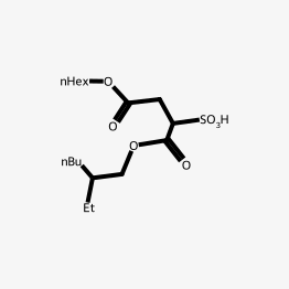 CCCCCCOC(=O)CC(C(=O)OCC(CC)CCCC)S(=O)(=O)O